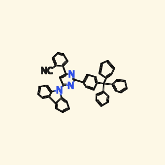 N#Cc1ccccc1-c1cc(-n2c3ccccc3c3ccccc32)nc(-c2ccc(C(c3ccccc3)(c3ccccc3)c3ccccc3)cc2)n1